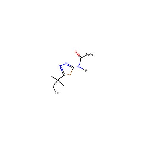 CNC(=O)N(c1nnc(C(C)(C)CC#N)s1)C(C)C